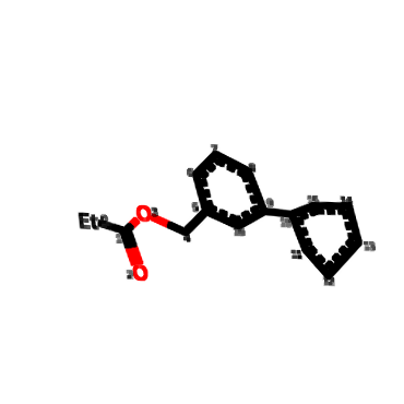 CCC(=O)OCc1cccc(-c2ccccc2)c1